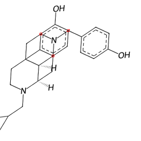 Oc1ccc(CN2CCC34CCN(CC5CC5)[C@H](Cc5ccc(O)cc53)[C@@H]4C2)cc1